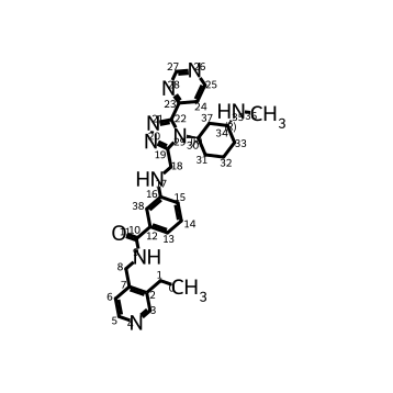 CCc1cnccc1CNC(=O)c1cccc(NCc2nnc(-c3ccncn3)n2[C@@H]2CCC[C@@H](NC)C2)c1